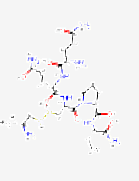 CC(C)C[C@H](NC(=O)[C@@H]1CCCN1C(=O)[C@H](CSSC[C@H](N)C(=O)O)NC(=O)[C@H](CCC(N)=O)NC(=O)[C@@H](N)CCC(N)=O)C(N)=O